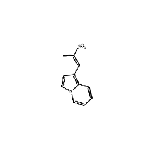 C/C(=C\c1ccn2ccccc12)[N+](=O)[O-]